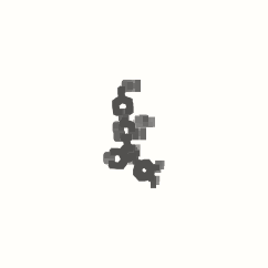 CC(C)(C)[C@H](NC(=O)c1nn(-c2ccc(F)c(F)c2)c2c1COCC2)C(=O)N1CCC(CO)CC1